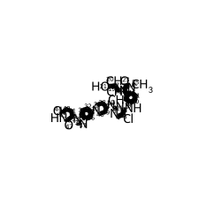 CN(c1ncc(Cl)c(Nc2ccc3c(c2)n(CCC(C)(C)O)c(=O)n3C)n1)C1CCN(c2ccc3c(c2)ncn3C2CCC(=O)NC2=O)CC1